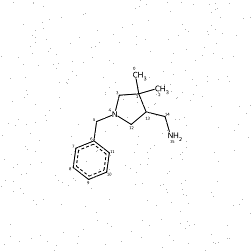 CC1(C)CN(Cc2ccccc2)CC1CN